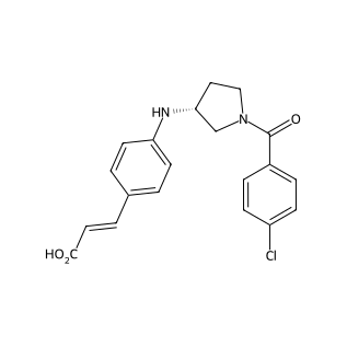 O=C(O)/C=C/c1ccc(N[C@@H]2CCN(C(=O)c3ccc(Cl)cc3)C2)cc1